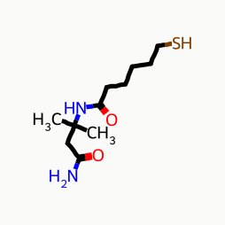 CC(C)(CC(N)=O)NC(=O)CCCCCS